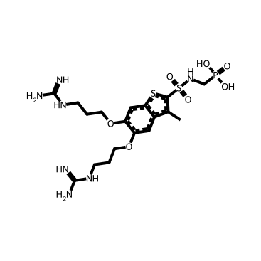 Cc1c(S(=O)(=O)NCP(=O)(O)O)sc2cc(OCCCNC(=N)N)c(OCCCNC(=N)N)cc12